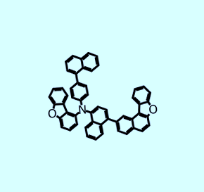 c1ccc2c(-c3ccc(N(c4ccc(-c5ccc6ccc7oc8ccccc8c7c6c5)c5ccccc45)c4cccc5oc6ccccc6c45)cc3)cccc2c1